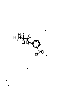 CC(C)(N)C(=O)Cc1cccc([N+](=O)[O-])c1